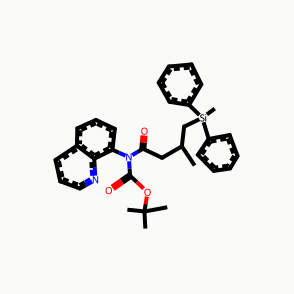 CC(CC(=O)N(C(=O)OC(C)(C)C)c1cccc2cccnc12)C[Si](C)(c1ccccc1)c1ccccc1